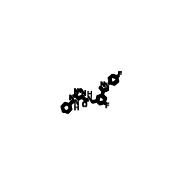 O=C(NCc1cc(F)cc(-c2cnn(-c3ccc(F)cc3)c2)c1)c1ncnc2nc(C3CCCCC3)[nH]c12